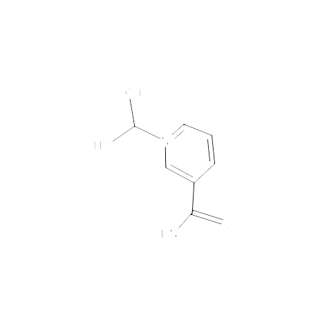 CC(O)[n+]1cccc(C([NH])=O)c1